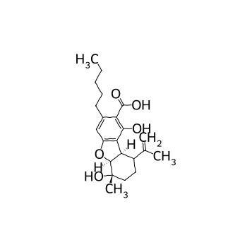 C=C(C)C1CC[C@](C)(O)[C@H]2Oc3cc(CCCCC)c(C(=O)O)c(O)c3[C@@H]12